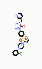 C=CC(N1CCN(c2ccccc2Cl)CC1)S(=O)(=O)c1ccc(NC(=O)NCc2cccnc2)cc1